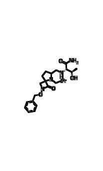 CC(C)CN1C(CN[C@H](C(N)=O)[C@@H](C)O)CCC12CN(OCc1ccccc1)C2=O